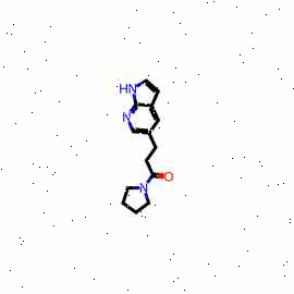 O=C(CCc1cnc2[nH]ccc2c1)N1CCCC1